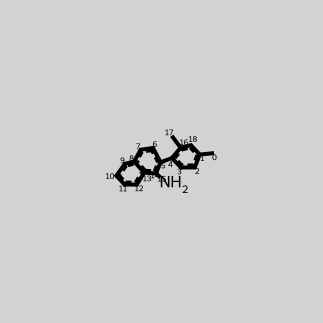 Cc1ccc(-c2ccc3ccccc3c2N)c(C)c1